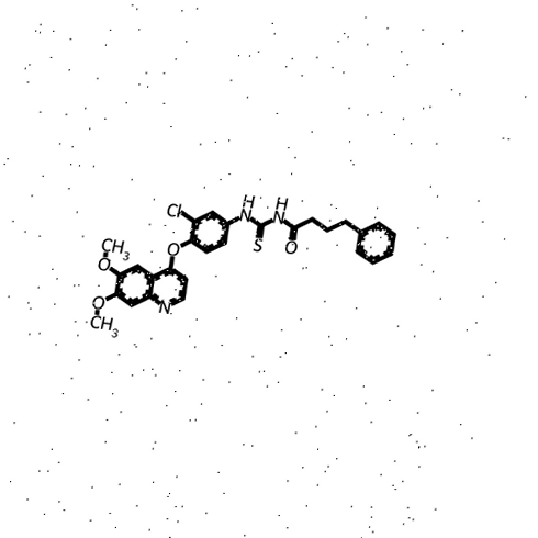 COc1cc2nccc(Oc3ccc(NC(=S)NC(=O)CCCc4ccccc4)cc3Cl)c2cc1OC